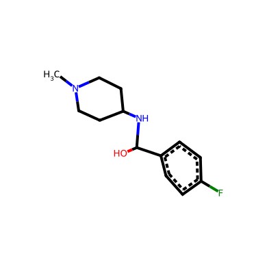 CN1CCC(NC(O)c2ccc(F)cc2)CC1